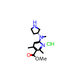 COC(=O)c1c(C)cc(N(C)[C@@H]2CCNC2)nc1C.Cl